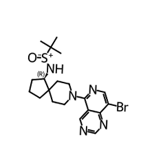 CC(C)(C)[S+]([O-])N[C@@H]1CCCC12CCN(c1ncc(Br)c3ncncc13)CC2